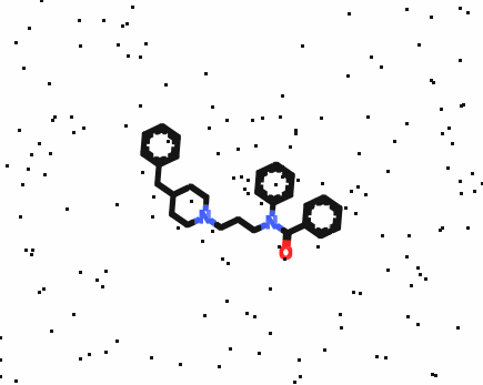 O=C(c1ccccc1)N(CCCN1CCC(Cc2ccccc2)CC1)c1ccccc1